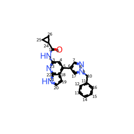 O=C(Nc1cc(-c2cnn(Cc3ccccc3)c2)c2cc[nH]c2n1)C1CC1